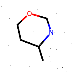 CC1CCOC[N]1